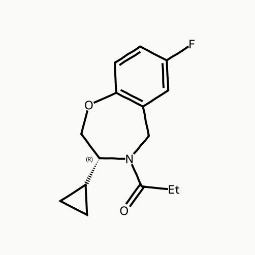 CCC(=O)N1Cc2cc(F)ccc2OC[C@H]1C1CC1